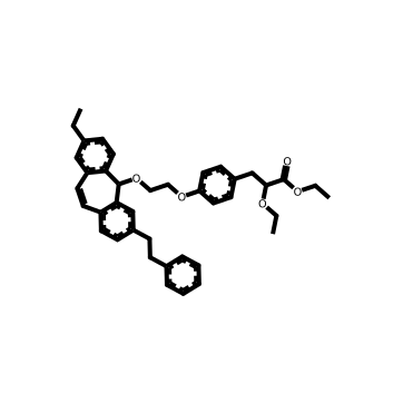 CCOC(=O)C(Cc1ccc(OCCOC2c3ccc(CC)cc3C=Cc3ccc(CCc4ccccc4)cc32)cc1)OCC